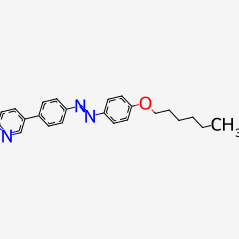 CCCCCCOc1ccc(N=Nc2ccc(-c3cccnc3)cc2)cc1